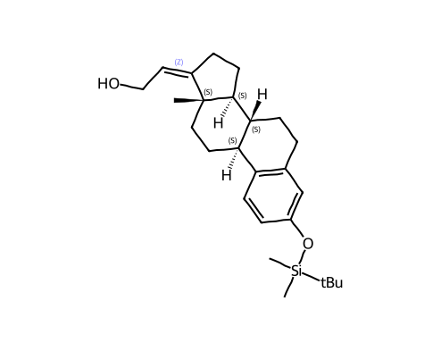 CC(C)(C)[Si](C)(C)Oc1ccc2c(c1)CC[C@@H]1[C@@H]2CC[C@]2(C)/C(=C\CO)CC[C@@H]12